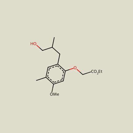 CCOC(=O)COc1cc(OC)c(C)cc1CC(C)CO